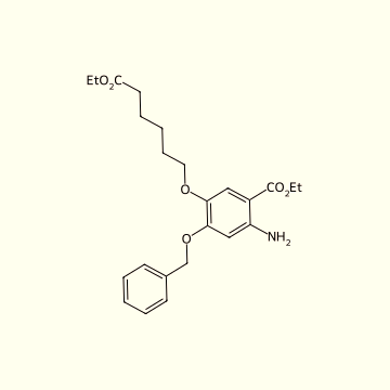 CCOC(=O)CCCCCOc1cc(C(=O)OCC)c(N)cc1OCc1ccccc1